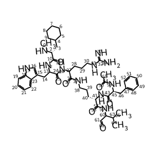 CN[C@H](CC1CCCCC1)C(=O)NC(Cc1c[nH]c2ccccc12)C(=O)NC(CCCNC(=N)N)C(=O)NCCC[C@H](NC(=O)[C@H](Cc1ccccc1)NC(C)=O)C(=O)NC(C=O)C(C)C